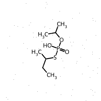 CCC(C)SP(=O)(O)OC(C)C